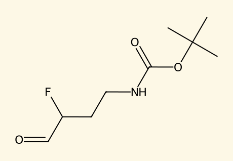 CC(C)(C)OC(=O)NCCC(F)C=O